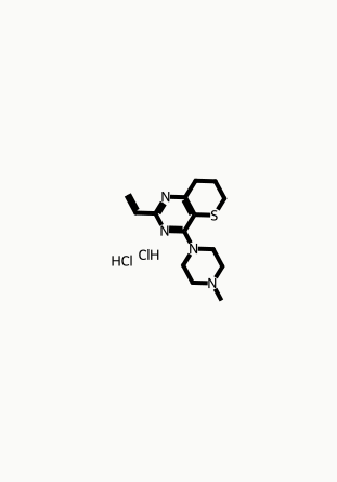 C=Cc1nc2c(c(N3CCN(C)CC3)n1)SCCC2.Cl.Cl